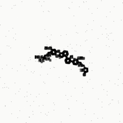 COc1cc(O[C@H]2CCc3c(-c4cccc(-c5ccc(CNC[C@@H]6CCC(=O)N6)c(OC)n5)c4Cl)cccc32)c(C(F)(F)F)cc1CNCC(C)(C)C(=O)O